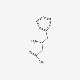 NC(CC(=O)O)Cc1cccnc1